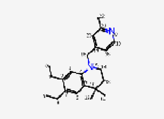 CCc1cc2c(cc1CC)C(C)(C)CCN2Cc1ccnc(C)c1